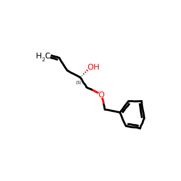 C=CC[C@H](O)COCc1ccccc1